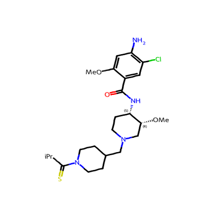 COc1cc(N)c(Cl)cc1C(=O)N[C@H]1CCN(CC2CCN(C(=S)C(C)C)CC2)C[C@H]1OC